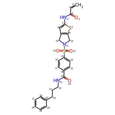 C=CC(=O)Nc1cc2c(s1)CN(S(=O)(=O)c1ccc(C(=O)NCCCc3ccccc3)cc1)C2